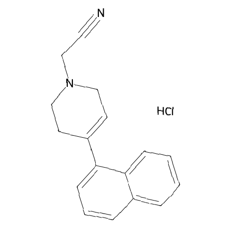 Cl.N#CCN1CC=C(c2cccc3ccccc23)CC1